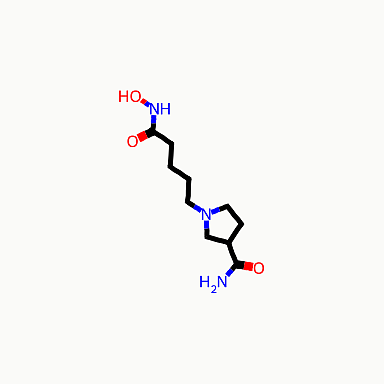 NC(=O)C1CCN(CCCCC(=O)NO)C1